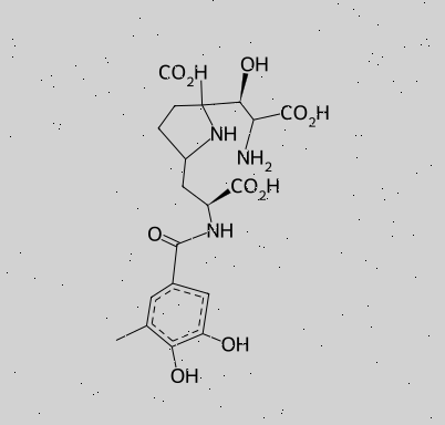 Cc1cc(C(=O)N[C@@H](CC2CCC(C(=O)O)([C@@H](O)C(N)C(=O)O)N2)C(=O)O)cc(O)c1O